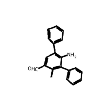 Cc1c(C=O)cc(-c2ccccc2)c(N)c1-c1ccccc1